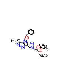 CSCC1OC(C)(C)OC1CNCc1cn(COCc2ccccc2)c2c(C)ncnc12